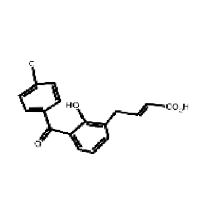 O=C(O)C=CCc1cccc(C(=O)c2ccc(Cl)cc2)c1O